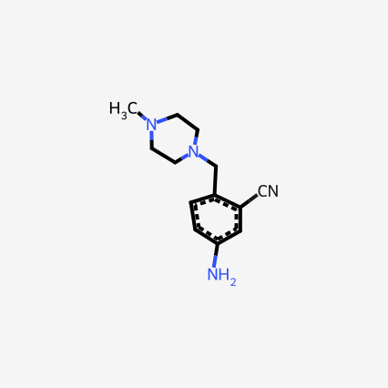 CN1CCN(Cc2ccc(N)cc2C#N)CC1